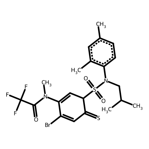 Cc1ccc(N(CC(C)C)S(=O)(=O)C2C=C(N(C)C(=O)C(F)(F)F)C(Br)=CC2=S)c(C)c1